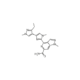 CCc1nn(C)cc1-c1cn(C)c(-c2nc(C(N)=O)cc3c2cnn3C)n1